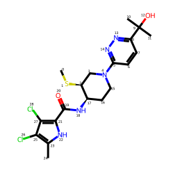 CS[C@H]1CN(c2ccc(C(C)(C)O)nn2)CC[C@H]1NC(=O)c1[nH]c(C)c(Cl)c1Cl